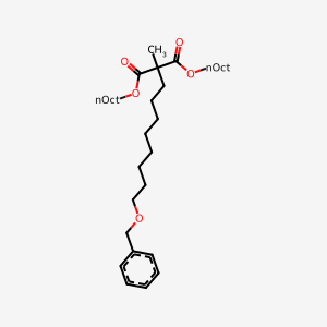 CCCCCCCCOC(=O)C(C)(CCCCCCCCOCc1ccccc1)C(=O)OCCCCCCCC